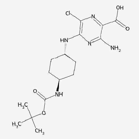 CC(C)(C)OC(=O)N[C@H]1CC[C@H](Nc2nc(N)c(C(=O)O)nc2Cl)CC1